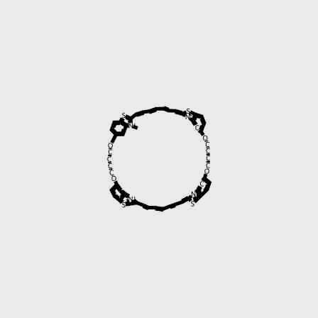 CN1C2=CC=CC=CC=Cc3sc4ccc(cc4[n+]3C)OCCCCOc3ccc4sc([n+](C)c4c3)C=CC=CC=CC=C3Sc4ccc(cc4N3C)OCCCCOc3ccc(c1c3)S2